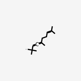 [CH2]C(C)(C)C=C=C(C)CCC=C(C)C